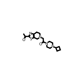 CC(=O)c1nc2c(s1)CN(CC(=O)N1CCN(C3CCC3)CC1)CC2